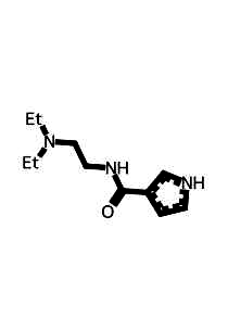 CCN(CC)CCNC(=O)c1cc[nH]c1